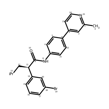 Cc1cc(-c2ccc(NC(=O)[C@H](CC(C)C)c3cccc(Br)c3)cc2)ccn1